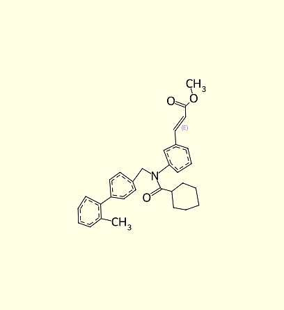 COC(=O)/C=C/c1cccc(N(Cc2ccc(-c3ccccc3C)cc2)C(=O)C2CCCCC2)c1